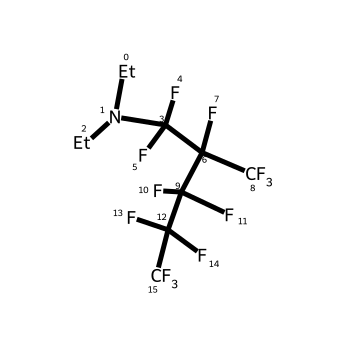 CCN(CC)C(F)(F)C(F)(C(F)(F)F)C(F)(F)C(F)(F)C(F)(F)F